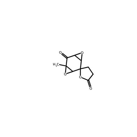 CC12OC1C1(CCC(=O)O1)C1OC1C2=O